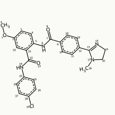 COc1ccc(NC(=O)c2ccc(C3=NCCN3C)cc2)c(C(=O)Nc2ccc(Cl)cc2)c1